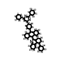 c1ccc(-c2cc(-c3ccc(-c4c5ccccc5c(-c5nc6ccccc6c6c(-c7ccccc7)cccc56)c5ccccc45)cc3)nc(-c3ccccc3)n2)cc1